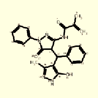 C=C(C)C(=O)NC1=NN(c2ccccc2)C(=O)C1C(c1ccccc1)c1c(C)n[nH]c1O